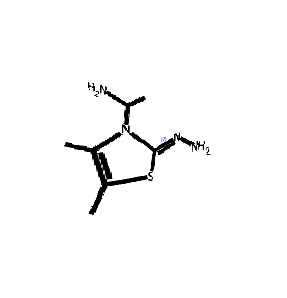 Cc1s/c(=N\N)n(C(C)N)c1C